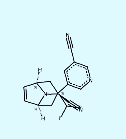 N#Cc1cncc([C@]2(C#N)C[C@H]3C=C[C@@H](C2)N3CC(F)F)c1